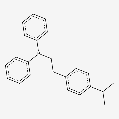 CC(C)c1ccc(CCP(c2ccccc2)c2ccccc2)cc1